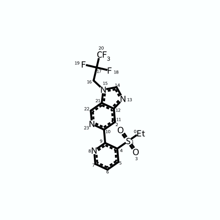 CCS(=O)(=O)c1cccnc1-c1cc2ncn(CC(F)(F)C(F)(F)F)c2cn1